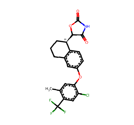 Cc1cc(Oc2ccc3c(c2)CCC[C@H]3C2OC(=O)NC2=O)c(Cl)cc1C(F)(F)F